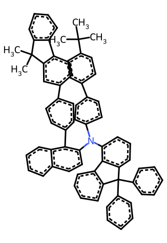 CC(C)(C)c1ccc(-c2ccc(N(c3cccc4c3-c3ccccc3C4(c3ccccc3)c3ccccc3)c3ccc4ccccc4c3-c3ccc(-c4ccc5c(c4)C(C)(C)c4ccccc4-5)cc3)cc2)cc1